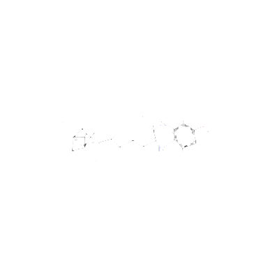 Oc1ccc2c(c1)NC(O)C(CCCCC[C@H]1C[C@H]3C[C@@H]1C3)N2